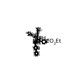 Bc1c(C2CCC(C)(C(=O)OCC)CC2)nc2c(-c3ccc(-c4ccccc4)nc3)cnn2c1N(COCC[Si](C)(C)C)COCC[Si](C)(C)C